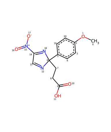 COc1ccc(C2(CCC(=O)O)N=CC([N+](=O)[O-])=N2)cc1